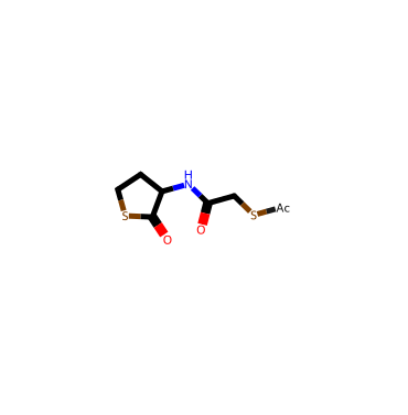 CC(=O)SCC(=O)NC1CCSC1=O